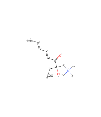 CCCCCCCCCC=CC=CC(=O)C(O)(CC(=O)[O-])C[N+](C)(C)C